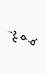 CNc1nccc(-c2cccnc2Oc2ccc(NC(=O)c3cccc(C(F)(F)F)c3)cc2F)n1